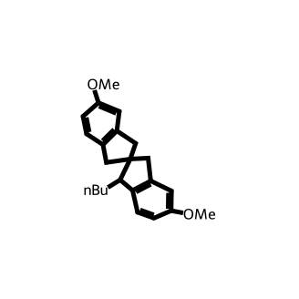 CCCCC1c2ccc(OC)cc2CC12Cc1ccc(OC)cc1C2